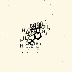 BC(B)(C)C(C)(c1cccc(C(C)(C(B)(C)C)C(C)(C)C)c1C(C)(C)C)C(B)(C)C